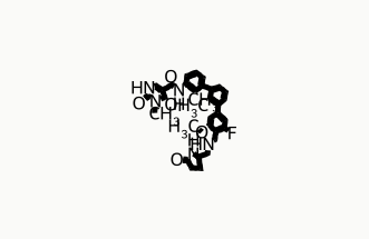 COc1cc(-c2cccc(-c3cccc(NC(=O)c4c[nH]c(=O)n(C)c4=O)c3C)c2C)cc(F)c1CNCC1CCC(=O)N1